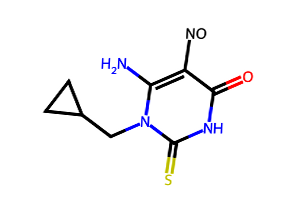 Nc1c(N=O)c(=O)[nH]c(=S)n1CC1CC1